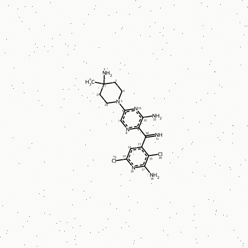 CC1(N)CCN(c2cnc(C(=N)c3cc(Cl)nc(N)c3Cl)c(N)n2)CC1